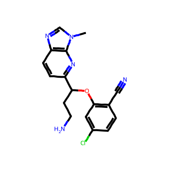 Cn1cnc2ccc(C(CCN)Oc3cc(Cl)ccc3C#N)nc21